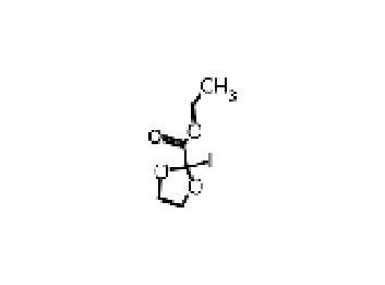 CCOC(=O)C1(I)OCCO1